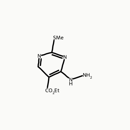 CCOC(=O)c1cnc(SC)nc1NN